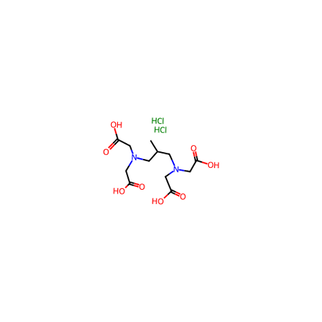 CC(CN(CC(=O)O)CC(=O)O)CN(CC(=O)O)CC(=O)O.Cl.Cl